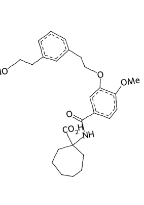 COc1ccc(C(=O)NC2(C(=O)O)CCCCCC2)cc1OCCc1cccc(CCO)c1